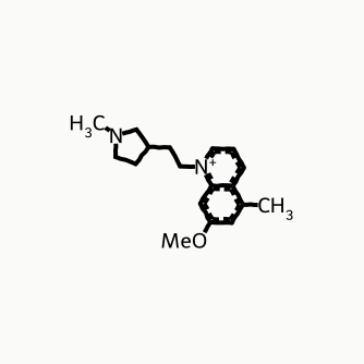 COc1cc(C)c2ccc[n+](CCC3CCN(C)C3)c2c1